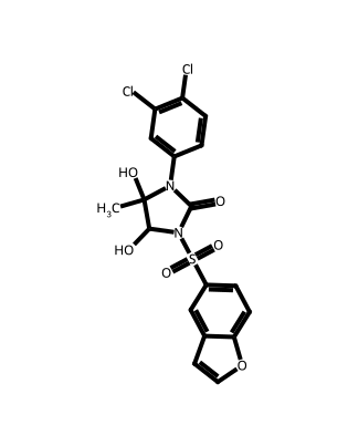 CC1(O)C(O)N(S(=O)(=O)c2ccc3occc3c2)C(=O)N1c1ccc(Cl)c(Cl)c1